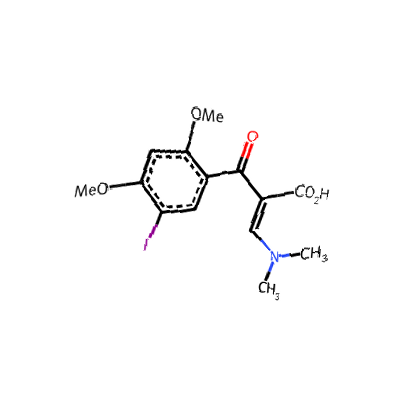 COc1cc(OC)c(C(=O)C(=CN(C)C)C(=O)O)cc1I